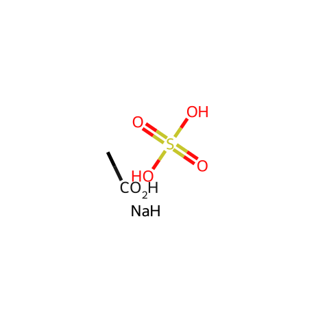 CC(=O)O.O=S(=O)(O)O.[NaH]